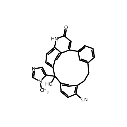 Cn1cncc1C1(O)c2ccc(C#N)c(c2)CCc2cccc(c2)-c2cc(=O)[nH]c3ccc1cc23